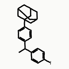 CC(c1ccc(I)cc1)c1ccc(C23CC4CC(CC(C4)C2)C3)cc1